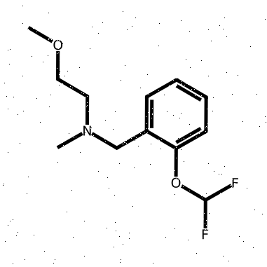 COCCN(C)Cc1ccccc1OC(F)F